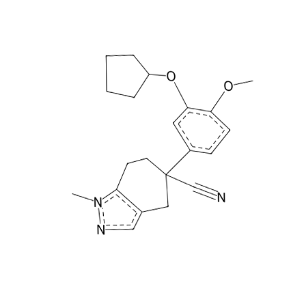 COc1ccc(C2(C#N)CCc3c(cnn3C)C2)cc1OC1CCCC1